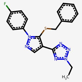 CCn1nnc(-c2cnn(-c3ccc(F)cc3)c2SCc2ccccc2)n1